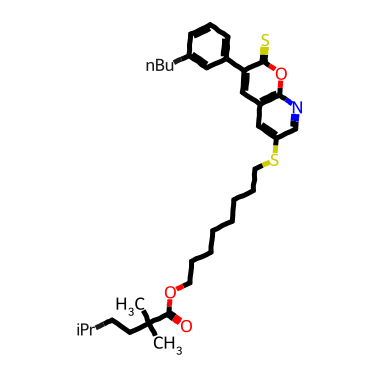 CCCCc1cccc(-c2cc3cc(SCCCCCCCCOC(=O)C(C)(C)CCC(C)C)cnc3oc2=S)c1